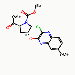 COC(=O)[C@@H]1C[C@@H](Oc2nc3cc(OC)ccc3nc2Cl)CN1C(=O)OC(C)(C)C